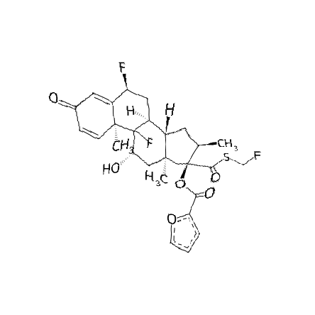 C[C@@H]1C[C@H]2[C@@H]3C[C@H](F)C4=CC(=O)C=C[C@]4(C)C3(F)[C@@H](O)C[C@]2(C)[C@@]1(OC(=O)c1ccco1)C(=O)SCF